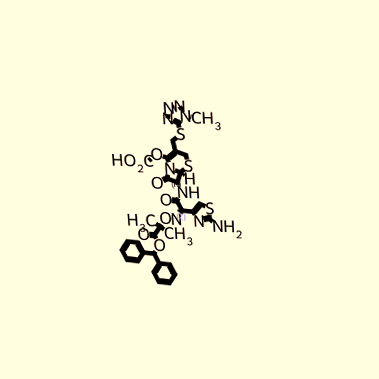 Cn1nnnc1SCC1=C(OC(=O)O)N2C(=O)[C@@H](NC(=O)/C(=N\OC(C)(C)C(=O)OC(c3ccccc3)c3ccccc3)c3csc(N)n3)[C@H]2SC1